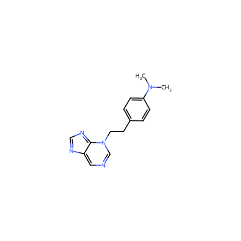 CN(C)c1ccc(CCn2cncc3ncnc2-3)cc1